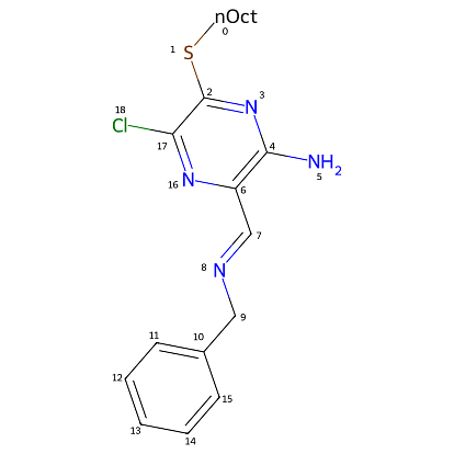 CCCCCCCCSc1nc(N)c(C=NCc2ccccc2)nc1Cl